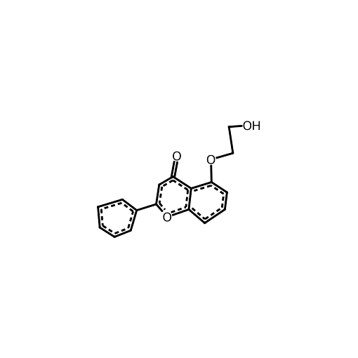 O=c1cc(-c2ccccc2)oc2cccc(OCCO)c12